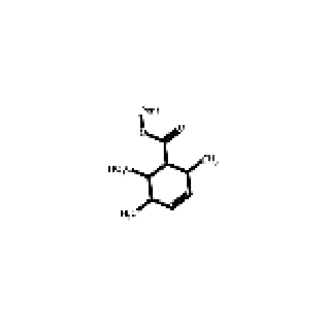 CCCC(C)OC(=O)C1C(C)C=CC(C)C1C(=O)O